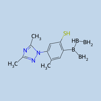 BBB(B)c1cc(C)c(-n2nc(C)nc2C)cc1S